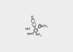 COc1cc(N2CCC3(CCNCC3)CC2)c(-c2cnn(C)c2)cc1[N+](=O)[O-].Cl